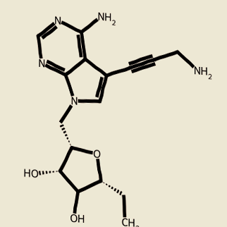 CC[C@H]1O[C@@H](Cn2cc(C#CCN)c3c(N)ncnc32)[C@@H](O)C1O